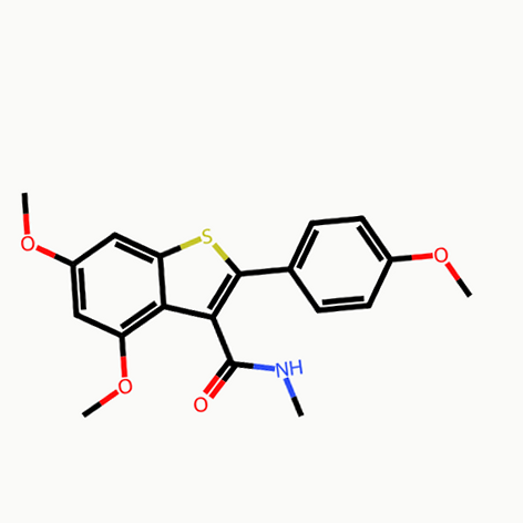 CNC(=O)c1c(-c2ccc(OC)cc2)sc2cc(OC)cc(OC)c12